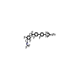 CCCc1cnc(-c2ccc(-c3ccc(C(F)(F)Oc4cc(F)c(O/C=C/C(F)F)c(F)c4)c(F)c3)c(F)c2)nc1